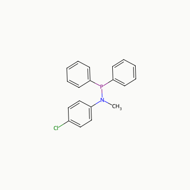 CN(c1ccc(Cl)cc1)P(c1ccccc1)c1ccccc1